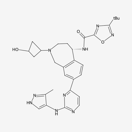 Cc1n[nH]cc1Nc1nccc(-c2ccc3c(c2)CN(C2CC(O)C2)CC[C@@H]3NC(=O)c2nc(C(C)(C)C)no2)n1